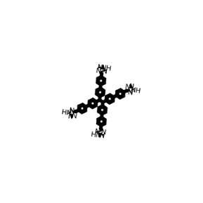 c1cc(-c2nn[nH]n2)ccc1-c1ccc(C(c2ccc(-c3ccc(-c4nn[nH]n4)cc3)cc2)C(c2ccc(-c3ccc(-c4nn[nH]n4)cc3)cc2)c2ccc(-c3ccc(-c4nn[nH]n4)cc3)cc2)cc1